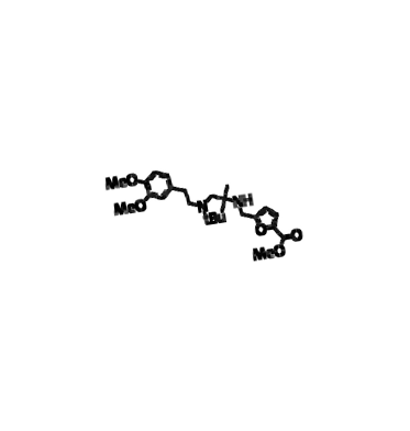 COC(=O)c1ccc(CNC(C)(C)CN(CCc2ccc(OC)c(OC)c2)C(C)(C)C)o1